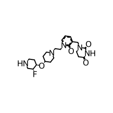 O=C1CCN(Cc2cccn(CCN3CCC(O[C@@H]4CCNC[C@H]4F)CC3)c2=O)C(=O)N1